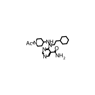 CC(=O)N1CCC(NN(CCC2CCCCC2)c2ncncc2C(N)=O)CC1